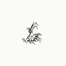 C=C/C(=C\C(=C/C)CC(=C)N(C)C(=C)SC(=C)CCCCc1ccc(NC(=O)C/C(C)=C/C)nn1)CC(=O)NC(C)(C)C